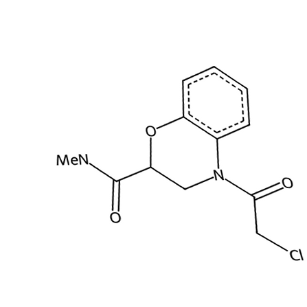 CNC(=O)C1CN(C(=O)CCl)c2ccccc2O1